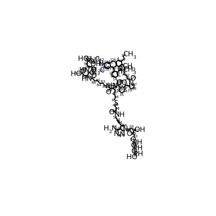 CCCc1cc2c(cc1C)C(c1ccccc1C(=O)N(C)CCCC(=O)N1CCCC1C(O)N1CCCC1C(=O)NC(CCCCSCCC(=O)NCC#Cc1cn([C@H]3CC(O)[C@@H](COPOPOPO)O3)c3ncnc(N)c13)C(=O)NCCCCCC(=O)NC(CC(=O)O)C(=O)NC(CC(=O)O)C(=O)O)C1C=C(C)/C(=N/CC)C=C1C2